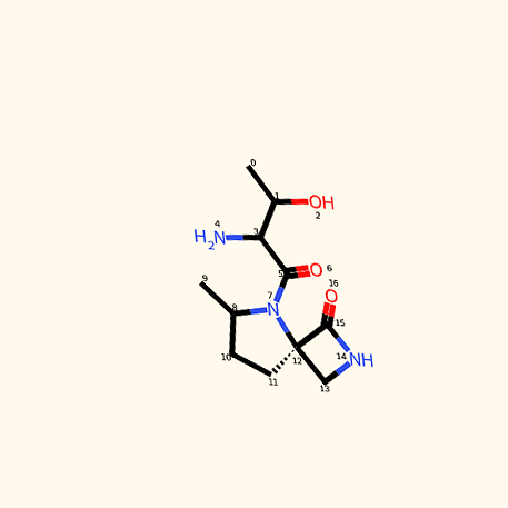 CC(O)C(N)C(=O)N1C(C)CC[C@]12CNC2=O